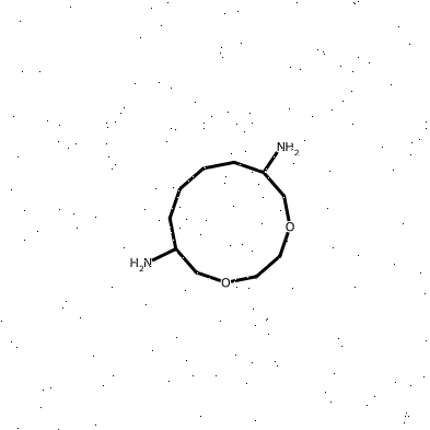 NC1CCCCC(N)COCCOC1